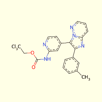 Cc1cccc(-c2nc3cccnn3c2-c2ccnc(NC(=O)OCC(Cl)(Cl)Cl)c2)c1